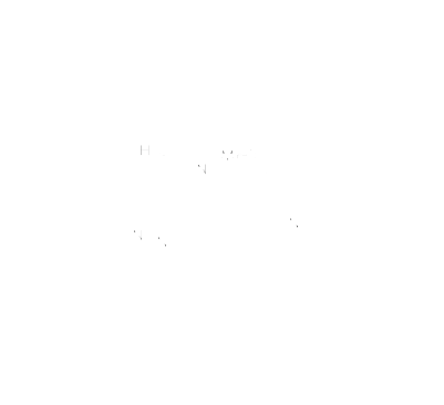 COc1ccncc1-c1cc2[nH]ncc2c(C)n1